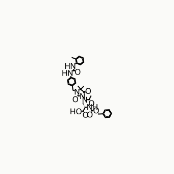 CC(=O)N(C[C@H](NC(=O)OCc1ccccc1)C(=O)O)N1C(=O)N(Cc2ccc(NC(=O)Nc3ccccc3C)cc2)C(C)(C)C1=O